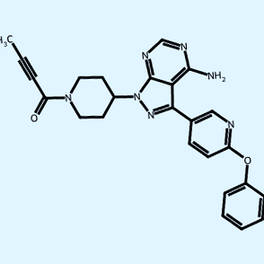 CC#CC(=O)N1CCC(n2nc(-c3ccc(Oc4ccccc4)nc3)c3c(N)ncnc32)CC1